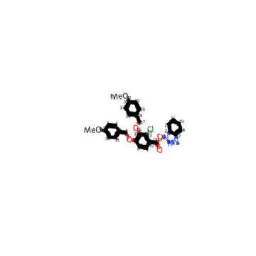 COc1ccc(COc2ccc(C(=O)On3nnc4ccccc43)c(Cl)c2OCc2ccc(OC)cc2)cc1